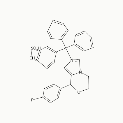 CS(=O)(=O)O.Fc1ccc(C2OCCn3c[n+](C(c4ccccc4)(c4ccccc4)c4ccccc4)cc32)cc1